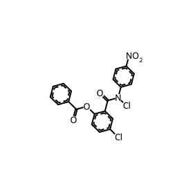 O=C(Oc1ccc(Cl)cc1C(=O)N(Cl)c1ccc([N+](=O)[O-])cc1)c1ccccc1